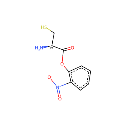 N[C@@H](CS)C(=O)Oc1ccccc1[N+](=O)[O-]